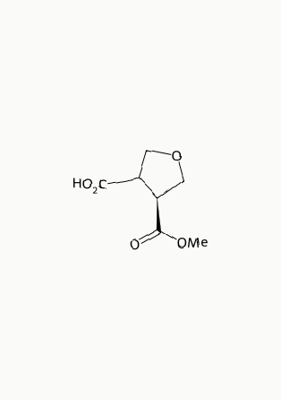 COC(=O)[C@@H]1COCC1C(=O)O